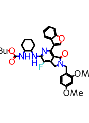 COc1ccc(CN2Cc3c(F)c(NC4CCCCC4NC(=O)OC(C)(C)C)nc(-c4coc5ccccc45)c3C2=O)c(OC)c1